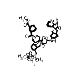 COC(=O)c1cccc(C(=O)N2CCC(C)(C(=O)N(CC(=O)Nc3ccc4c(c3)C[C@@]3(C4)C(=O)Nc4ncccc43)Cc3ccccc3CN(C)C(=O)OC(C)(C)C)CC2)c1